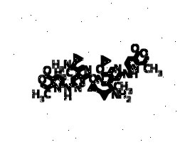 C[C@@H]1COC(=O)c2ccc(Nc3cc4c([C@](C)(N)C5CC5C5CC5Oc5ncc([C@](C)(N)C6CC6)c6cc(Nc7ccc8c(n7)[C@@H](C)COC8=O)ncc56)cnc(OC5CC5)c4cn3)nc21